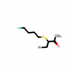 CC(C)COC(=O)C(CC(C)C)SCCCCF